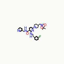 CC(C)(C)ON(C=O)CC1CCN(c2ccc(C(=O)NCc3cccnc3)c(NCCc3cccc(F)c3)n2)CC1